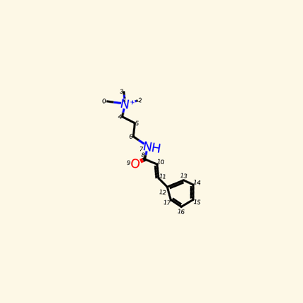 C[N+](C)(C)CCCNC(=O)C=Cc1ccccc1